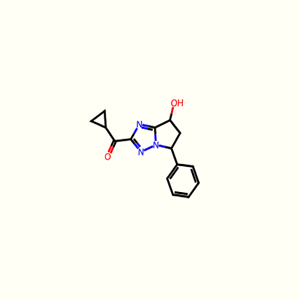 O=C(c1nc2n(n1)C(c1ccccc1)CC2O)C1CC1